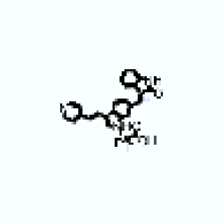 O=C(O)C(F)(F)F.O=C1Nc2ccccc2/C1=C\c1ccc2c(C=Cc3ccncc3)c[nH]c2c1